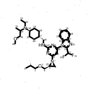 CCCOC[C@@H]1CN1c1cc(-n2c(C(F)F)nc3ccccc32)nc(NC[C@H]2CC[C@H](N(CC)C(C)COC)CC2)n1